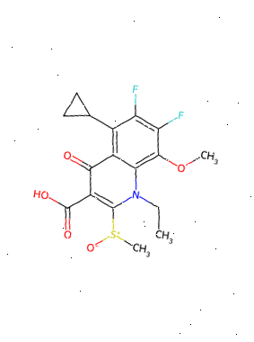 CCn1c([S+](C)[O-])c(C(=O)O)c(=O)c2c(C3CC3)c(F)c(F)c(OC)c21